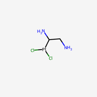 NC[CH](N)[Pt]([Cl])[Cl]